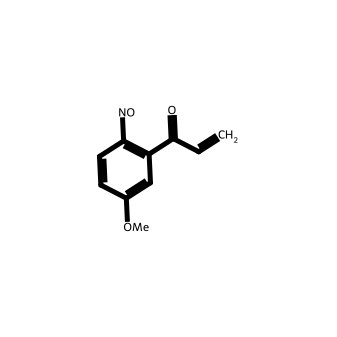 C=CC(=O)c1cc(OC)ccc1N=O